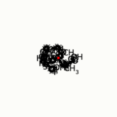 COc1ccccc1-c1nccc(COc2ccccc2CC(Oc2ncnc3sc(-c4ccc(F)c(O)c4)c(-c4ccc(OCCN5CC[N+](C)(CCCS(=O)(=O)O)CC5)c(Cl)c4C)c23)C(=O)O)n1